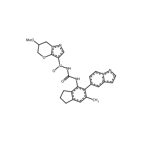 COC1COc2c([S+]([O-])NC(=O)Nc3c4c(cc(C)c3-c3ccn5nccc5c3)CCC4)cnn2C1